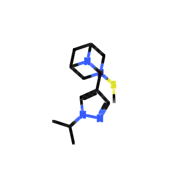 CSN1CC2CC(C1)N2Cc1cnn(C(C)C)c1